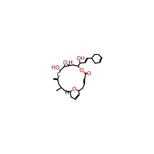 C=C1CC(C)C[C@@H]2CC=CC(C/C=C\C(=O)OC(C(O)/C=C/C3CC=CCC3)C[C@@H]3OC3[C@@H](O)C1)O2